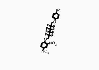 CC(=O)c1ccc(OCC(F)(F)C(F)(F)C(F)(F)C(F)(F)COc2ccc([N+](=O)[O-])cc2[N+](=O)[O-])cc1